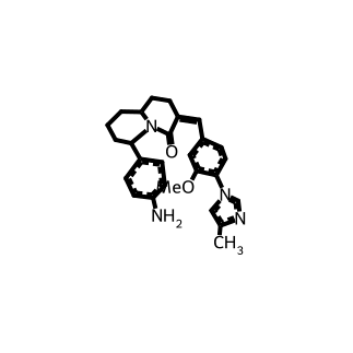 COc1cc(/C=C2/CCC3CCCC(c4ccc(N)cc4)N3C2=O)ccc1-n1cnc(C)c1